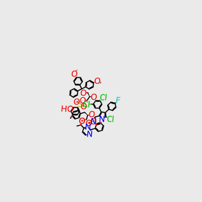 CCOC(=O)[C@@H](Cc1cc(O)ccc1OCc1ccnc(-c2ccccc2OC)n1)Oc1nccn2c(Cl)c(-c3ccc(F)cc3)c(-c3cc(Cl)c(O[C@H](COC(c4ccccc4)(c4ccc(OC)cc4)c4ccc(OC)cc4)COS(=O)(=O)c4ccc(C)cc4)c(Cl)c3)c12